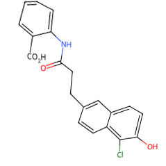 O=C(CCc1ccc2c(Cl)c(O)ccc2c1)Nc1ccccc1C(=O)O